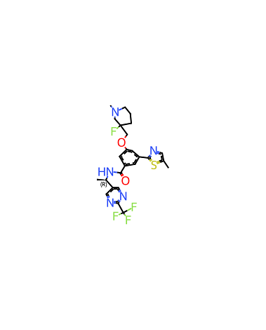 Cc1cnc(-c2cc(OCC3(F)CCCN(C)C3)cc(C(=O)N[C@H](C)c3cnc(C(F)(F)F)nc3)c2)s1